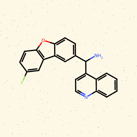 NC(c1ccc2oc3ccc(F)cc3c2c1)c1ccnc2ccccc12